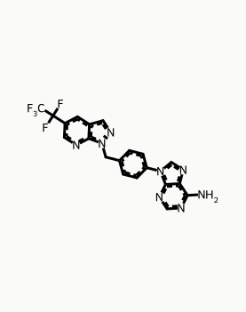 Nc1ncnc2c1ncn2-c1ccc(Cn2ncc3cc(C(F)(F)C(F)(F)F)cnc32)cc1